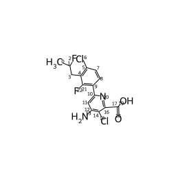 CC(F)Cc1c(Cl)ccc(-c2cc(N)c(Cl)c(C(=O)O)n2)c1F